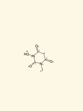 O=C1CC(=O)N(I)C(=O)N1O